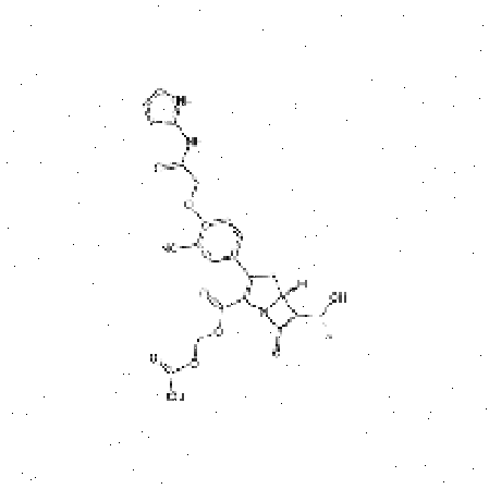 C[C@@H](O)[C@H]1C(=O)N2C(C(=O)OCOC(=O)C(C)(C)C)=C(c3ccc(OCC(=O)Nc4ccc[nH]4)c(C#N)c3)C[C@H]12